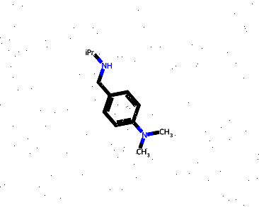 CC(C)NCc1ccc(N(C)C)cc1